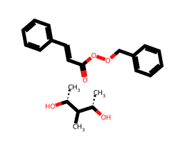 CC([C@H](C)O)[C@@H](C)O.O=C(C=Cc1ccccc1)OOCc1ccccc1